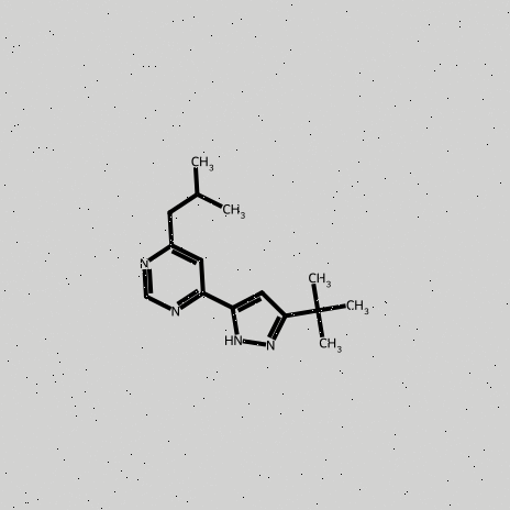 CC(C)Cc1cc(-c2cc(C(C)(C)C)n[nH]2)ncn1